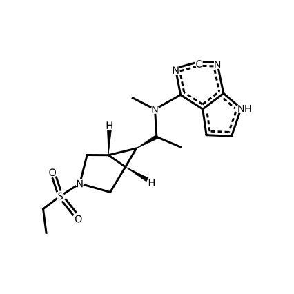 CCS(=O)(=O)N1C[C@@H]2[C@H](C1)[C@H]2C(C)N(C)c1ncnc2[nH]ccc12